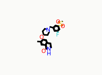 Cc1cc2c(=O)[nH]ccc2cc1OC1CCN(Cc2cc(F)cc(S(C)(=O)=O)c2)CC1